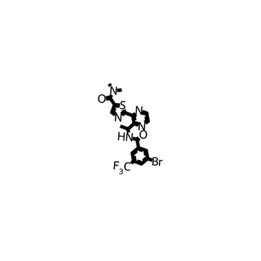 CC(NC(=O)c1cc(Br)cc(C(F)(F)F)c1)c1nccnc1-c1ncc(C(=O)N(C)C)s1